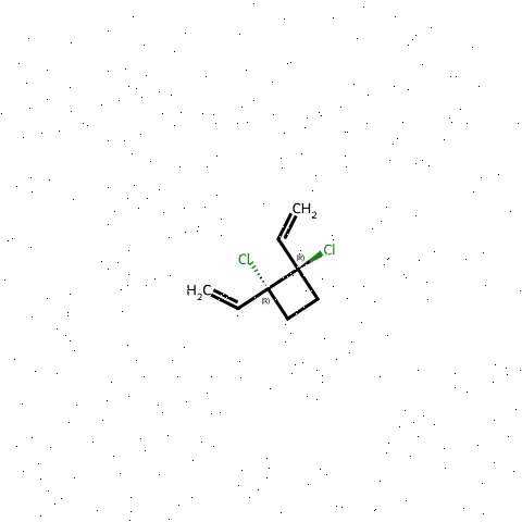 C=C[C@]1(Cl)CC[C@@]1(Cl)C=C